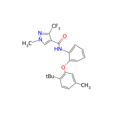 Cc1ccc(C(C)(C)C)c(Oc2ccccc2NC(=O)c2cn(C)nc2C(F)(F)F)c1